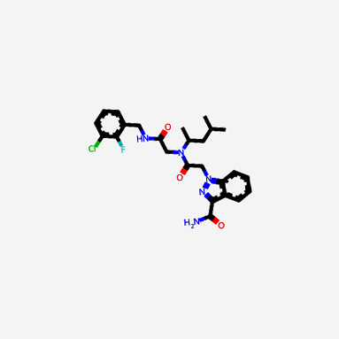 CC(C)CC(C)N(CC(=O)NCc1cccc(Cl)c1F)C(=O)Cn1nc(C(N)=O)c2ccccc21